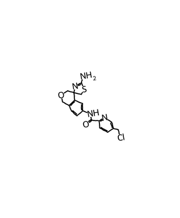 NC1=NC2(COCc3ccc(NC(=O)c4ccc(CCl)cn4)cc32)CS1